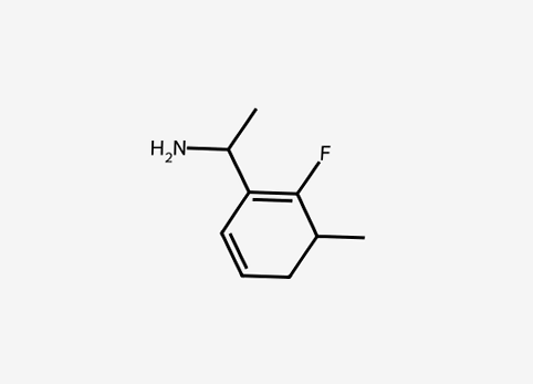 CC(N)C1=C(F)C(C)CC=C1